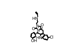 C#CCNCCN1C(=O)N2[C@H](c3cccc(O)c3)c3[nH]c4ccc(Cl)cc4c3C[C@@]2(C)C1=O